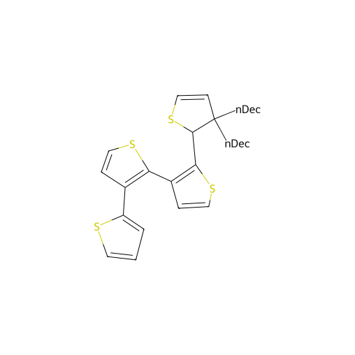 CCCCCCCCCCC1(CCCCCCCCCC)C=CSC1c1sccc1-c1sccc1-c1cccs1